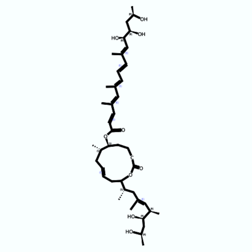 CC(=C\C=C\C(C)=C\[C@@H](O)[C@H](O)C[C@@H](C)O)/C=C(C)/C=C/C(=O)O[C@H]1CCCC(=O)OC([C@@H](C)C/C(C)=C/[C@@H](C)[C@H](O)C[C@@H](C)O)C/C=C/C[C@@H]1C